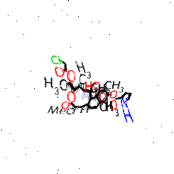 CO[C@H]1C[C@H]2C=C[C@]3(C)[C@H]4[C@H](O)[C@@H](C)[C@@H](OC(=O)c5ccc[nH]5)[C@@H]3O[C@@]24/C(C)=C/[C@@H](C)[C@@H]([C@@H](C)OC(=O)CCl)OC1=O